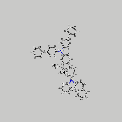 CC1(C)c2cc(N(c3ccc(-c4ccccc4)cc3)c3ccc(-c4ccccc4)cc3)ccc2-c2ccc(-n3c4ccccc4c4c5ccccc5ccc43)cc21